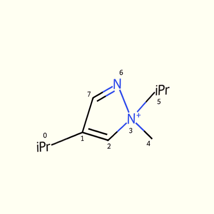 CC(C)C1=C[N+](C)(C(C)C)N=C1